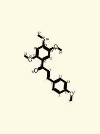 COc1ccc(C=CC(=O)c2cc(OC)c(SC)cc2OC)cc1